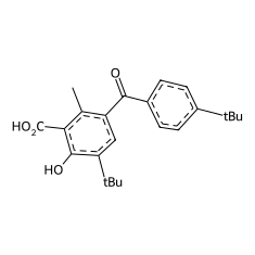 Cc1c(C(=O)c2ccc(C(C)(C)C)cc2)cc(C(C)(C)C)c(O)c1C(=O)O